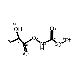 CCOC(=O)NOC(=O)C(C)O